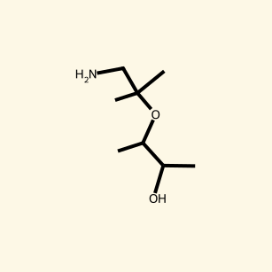 CC(O)C(C)OC(C)(C)CN